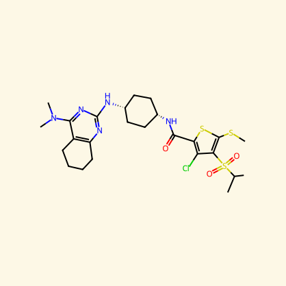 CSc1sc(C(=O)N[C@H]2CC[C@@H](Nc3nc4c(c(N(C)C)n3)CCCC4)CC2)c(Cl)c1S(=O)(=O)C(C)C